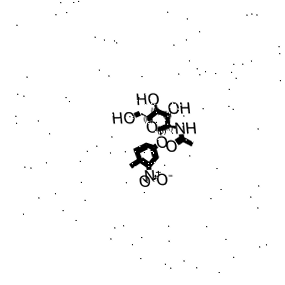 CC(=O)N[C@H]1[C@H](Oc2ccc(C)c([N+](=O)[O-])c2)O[C@H](CO)[C@@H](O)[C@@H]1O